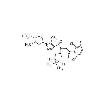 CC1CC(n2ncc(C(=O)N(CC(=O)c3c(Cl)ccc(F)c3Cl)[C@H]3C[C@@H]4[C@H](C3)C4(C)C)c2C(F)(F)F)CCC1C(=O)O